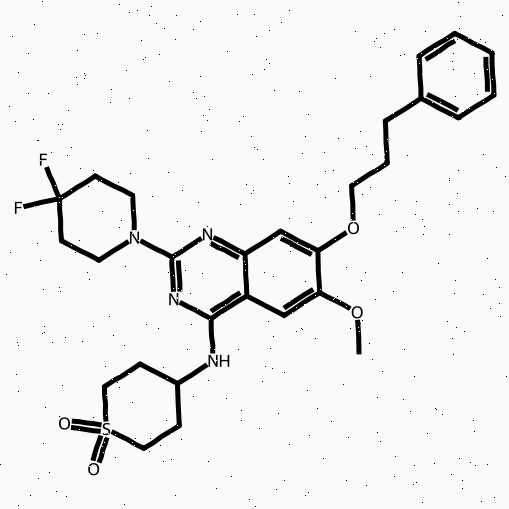 COc1cc2c(NC3CCS(=O)(=O)CC3)nc(N3CCC(F)(F)CC3)nc2cc1OCCCc1ccccc1